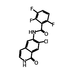 O=C(Nc1cc2cc[nH]c(=O)c2cc1Cl)c1c(F)ccc(F)c1F